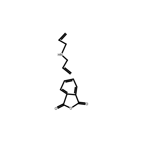 C=CCNCC=C.O=C1OC(=O)c2ccccc21